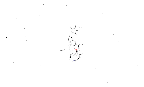 C=CCOC(=O)N1c2c(cc(O)c3c2C(=O)c2ccc(CN4C(=O)c5ccccc5C4=O)cc2C3=O)[C@@]23O[C@@]2(C(C)C)[C@@H]1C#C/C=C\C#C[C@@H]3O